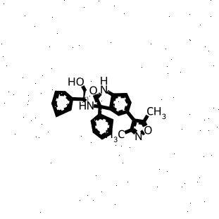 Cc1noc(C)c1-c1ccc2c(c1)C(N[C@H](CO)c1ccccc1)(c1ccccc1)C(=O)N2